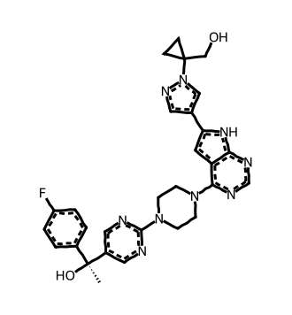 C[C@](O)(c1ccc(F)cc1)c1cnc(N2CCN(c3ncnc4[nH]c(-c5cnn(C6(CO)CC6)c5)cc34)CC2)nc1